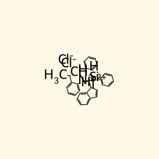 CC(C)c1ccccc1[NH][Hf+2]([CH]1C=Cc2ccccc21)[SiH](c1ccccc1)c1ccccc1.[Cl-].[Cl-]